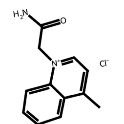 Cc1cc[n+](CC(N)=O)c2ccccc12.[Cl-]